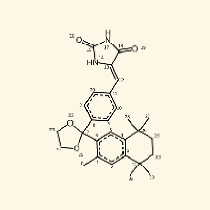 Cc1cc2c(cc1C1(c3ccc(/C=C4\NC(=O)NC4=O)cc3)OCCO1)C(C)(C)CCC2(C)C